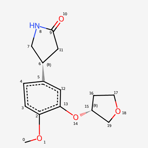 COc1ccc([C@@H]2CNC(=O)C2)cc1O[C@@H]1CCOC1